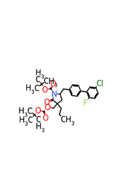 CCCC1(COC(=O)OC(C)(C)C)CC(Cc2ccc(-c3cc(Cl)ccc3F)cc2)N(C(=O)OC(C)(C)C)C1=O